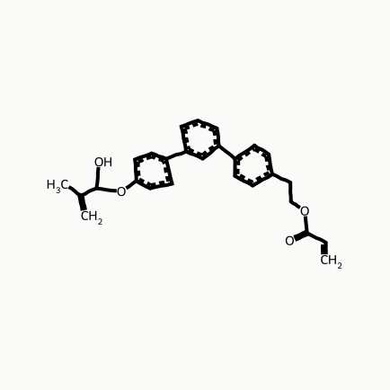 C=CC(=O)OCCc1ccc(-c2cccc(-c3ccc(OC(O)C(=C)C)cc3)c2)cc1